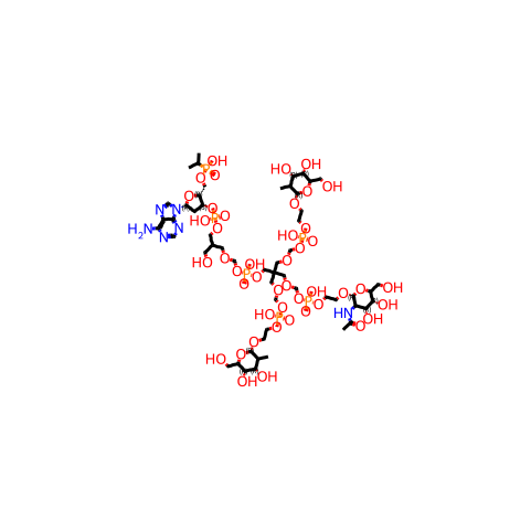 CC(=O)NC1[C@H](OCCOP(=O)(O)OCOCC(COCOP(=O)(O)OCCO[C@@H]2OC(CO)[C@H](O)[C@H](O)C2C)(COCOP(=O)(O)OCCO[C@@H]2OC(CO)[C@H](O)[C@H](O)C2C)COP(=O)(O)OCOCC(CO)COP(=O)(O)O[C@H]2C[C@H](n3cnc4c(N)ncnc43)O[C@@H]2COP(=O)(O)C(C)C)OC(CO)[C@H](O)[C@@H]1O